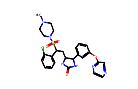 CN1CCN(S(=O)(=O)C(CC2NC(=O)NC2c2cccc(Oc3cnccn3)c2)c2ccccc2Cl)CC1